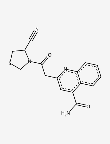 N#CC1CSCN1C(=O)Cc1cc(C(N)=O)c2ccccc2n1